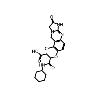 O=C(O)CC(Oc1ccc2c(c1Cl)CN1CC(=O)NC1=N2)C(=O)NC1CCCCC1